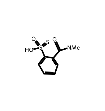 CNC(=O)c1ccccc1S(=O)(O)=S